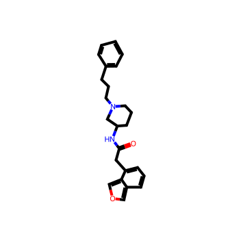 O=C(Cc1cccc2cocc12)NC1CCCN(CCCc2ccccc2)C1